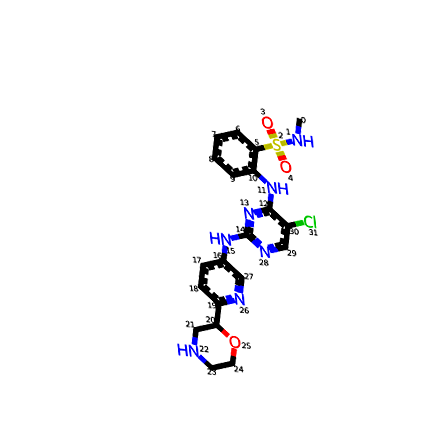 CNS(=O)(=O)c1ccccc1Nc1nc(Nc2ccc(C3CNCCO3)nc2)ncc1Cl